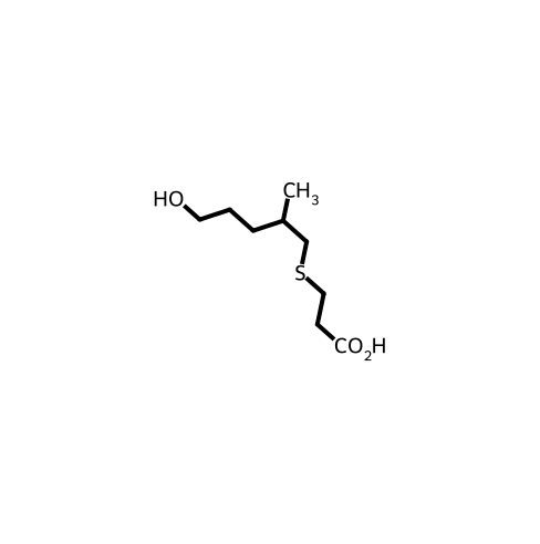 CC(CCCO)CSCCC(=O)O